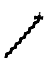 CCCCCCCCCCCCCCCC(I)(I)I